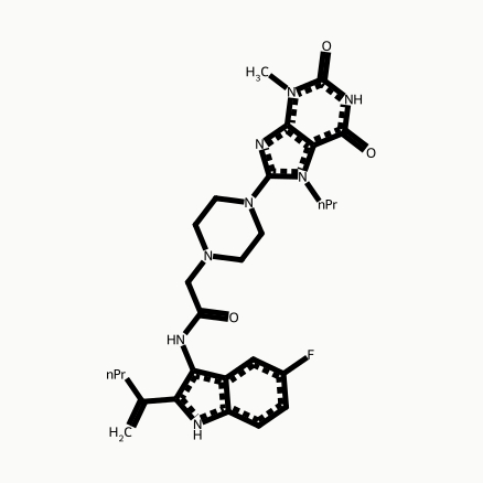 C=C(CCC)c1[nH]c2ccc(F)cc2c1NC(=O)CN1CCN(c2nc3c(c(=O)[nH]c(=O)n3C)n2CCC)CC1